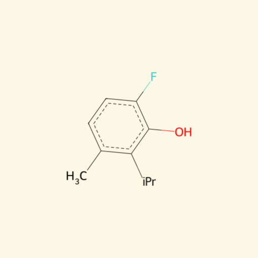 Cc1ccc(F)c(O)c1C(C)C